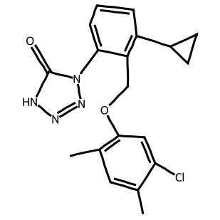 Cc1cc(C)c(OCc2c(C3CC3)cccc2-n2nn[nH]c2=O)cc1Cl